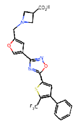 O=C(O)C1CN(Cc2cc(-c3noc(-c4cc(-c5ccccc5)c(C(F)(F)F)s4)n3)co2)C1